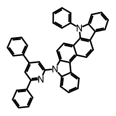 c1ccc(-c2cc(-c3ccccc3)nc(-n3c4ccccc4c4c5ccc6c7ccccc7n(-c7ccccc7)c6c5ccc43)c2)cc1